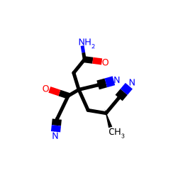 C[C@H](C#N)CC(C#N)(CC(N)=O)C(=O)C#N